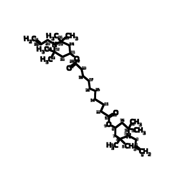 C=CCN1C(C)(C)CC(OC(=O)CCCCCCCCC(=O)OC2CC(C)(C)N(CC=C)C(C)(C)C2)CC1(C)C